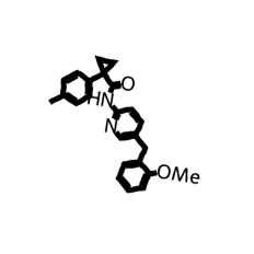 COc1ccccc1Cc1ccc(NC(=O)C2(c3ccc(C)cc3)CC2)nc1